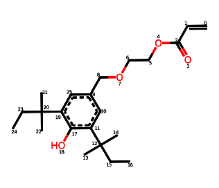 C=CC(=O)OCCOCc1cc(C(C)(C)CC)c(O)c(C(C)(C)CC)c1